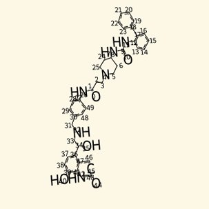 O=C(CCN1CCC(NC(=O)Nc2ccccc2-c2ccccc2)CC1)Nc1ccc(CNC[C@H](O)c2ccc(O)c3[nH]c(=O)ccc23)cc1